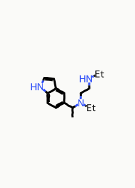 CCNCCN(CC)C(C)c1ccc2[nH]ccc2c1